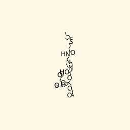 CCCC(C)(CC)SCCCC(=O)NCCN1CCN(CC(O)COCC(COCC2CO2)(COCC2CO2)COCC2CO2)CC1